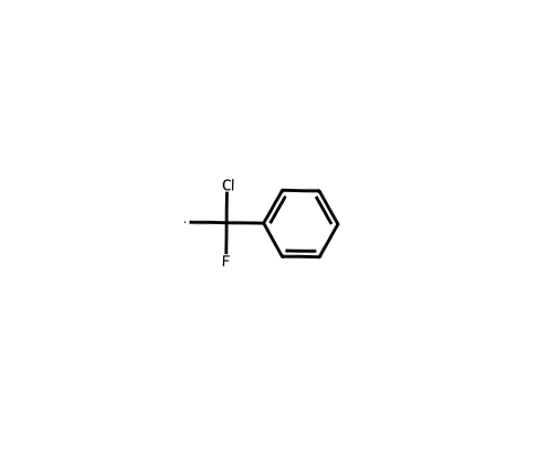 [CH2]C(F)(Cl)c1ccccc1